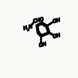 NC=O.Oc1cccc(O)c1O